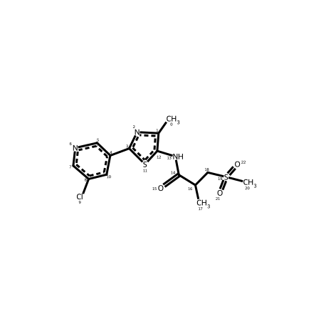 Cc1nc(-c2cncc(Cl)c2)sc1NC(=O)C(C)CS(C)(=O)=O